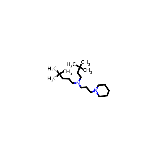 CC(C)(C)CCCN(CCCN1CCCCC1)CCC(C)(C)C